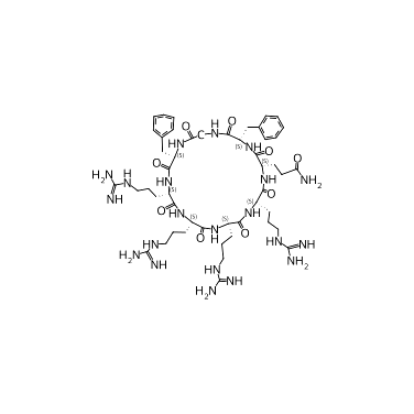 N=C(N)NCCC[C@@H]1NC(=O)[C@H](Cc2ccccc2)NC(=O)CNC(=O)[C@H](Cc2ccccc2)NC(=O)[C@H](CCC(N)=O)NC(=O)[C@H](CCCNC(=N)N)NC(=O)[C@H](CCCNC(=N)N)NC(=O)[C@H](CCCNC(=N)N)NC1=O